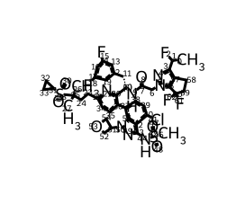 CC(F)c1nn(CC(=O)N[C@@H](Cc2cc(F)cc(F)c2)c2nc(CCC(C)(C)S(=O)(=O)C3CC3)ccc2-c2ccc(Cl)c3c(NS(C)(=O)=O)nn(C4COC4)c23)c2c1CCC2(F)F